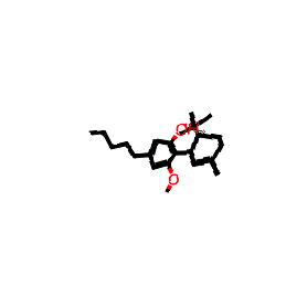 CCCCCc1cc(O)c(C2C=C(C)CC[C@H]2C(C)(C)C)c(OC)c1